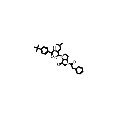 CC(C)CC(NC(=O)c1ccc(C(C)(C)C)cc1)C(=O)N1CCC2C1C(=O)CN2C(=O)Cc1ccccc1